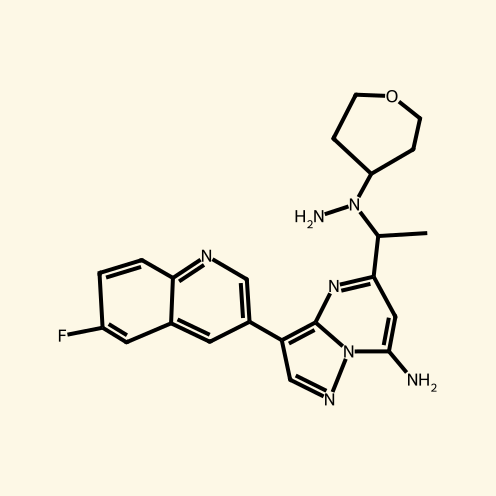 CC(c1cc(N)n2ncc(-c3cnc4ccc(F)cc4c3)c2n1)N(N)C1CCOCC1